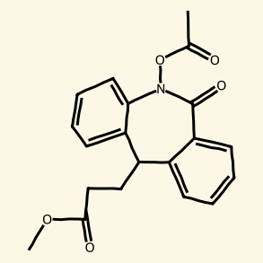 COC(=O)CCC1c2ccccc2C(=O)N(OC(C)=O)c2ccccc21